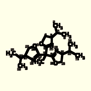 CC(C)C1COC(C(C)(C2=NC(C(C)C)CO2)C2=NC(C(C)C)CO2)=N1